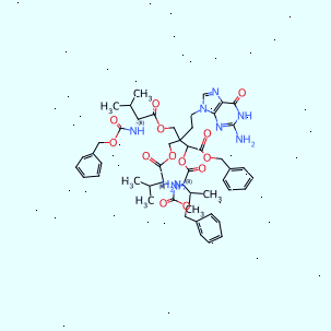 CC(C)[C@@H](N)C(=O)OC(C(=O)OCc1ccccc1)C(CCn1cnc2c(=O)[nH]c(N)nc21)(COC(=O)[C@H](NC(=O)OCc1ccccc1)C(C)C)COC(=O)[C@H](NC(=O)OCc1ccccc1)C(C)C